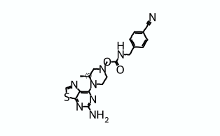 C[C@H]1CN(OC(=O)NCc2ccc(C#N)cc2)CCN1c1nc(N)nc2scnc12